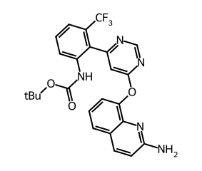 CC(C)(C)OC(=O)Nc1cccc(C(F)(F)F)c1-c1cc(Oc2cccc3ccc(N)nc23)ncn1